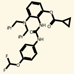 CC(C)CN(CC(C)C)c1cccc(OC(=O)C2CC2)c1NC(=O)Nc1ccc(OC(F)F)cc1